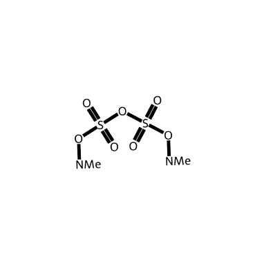 CNOS(=O)(=O)OS(=O)(=O)ONC